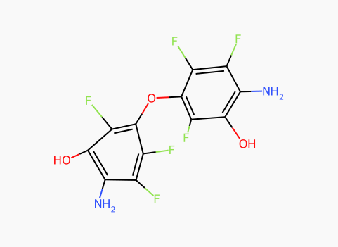 Nc1c(O)c(F)c(Oc2c(F)c(O)c(N)c(F)c2F)c(F)c1F